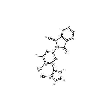 Cc1cc(N2C(=O)c3ccccc3C2=O)cc(-n2nnnc2S)c1O